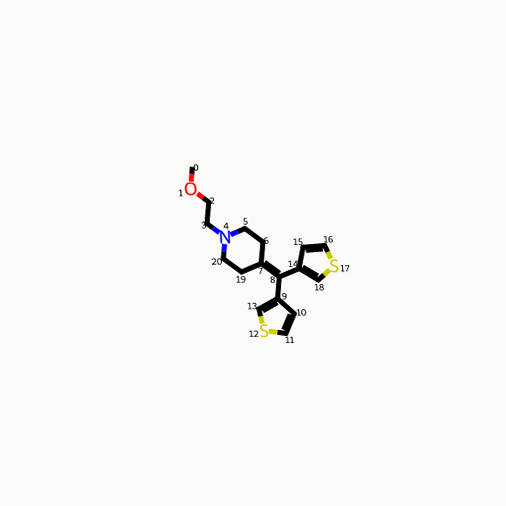 COCCN1CCC(=C(c2ccsc2)c2ccsc2)CC1